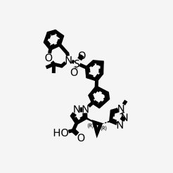 Cn1cc([C@@H]2C[C@H]2c2c(C(=O)O)cnn2-c2cccc(-c3cccc(S(=O)(=O)N4Cc5ccccc5OC(C)(C)C4)c3)c2)nn1